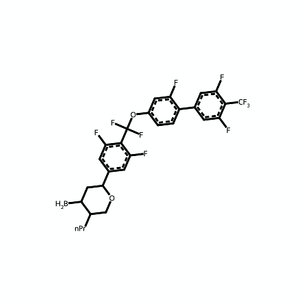 BC1CC(c2cc(F)c(C(F)(F)Oc3ccc(-c4cc(F)c(C(F)(F)F)c(F)c4)c(F)c3)c(F)c2)OCC1CCC